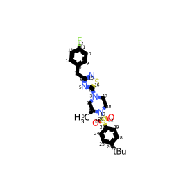 CC1CN(c2nc(Cc3ccc(F)cc3)ns2)CCN1S(=O)(=O)c1ccc(C(C)(C)C)cc1